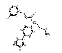 Cc1cccc(COC(=O)N(CCCN)c2ccc(-c3cn[nH]c3)cc2)c1